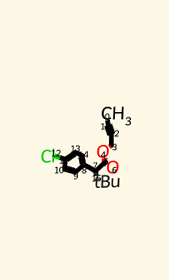 CC#CCOC(=O)C(c1ccc(Cl)cc1)C(C)(C)C